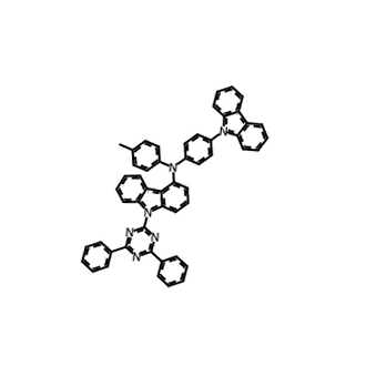 Cc1ccc(N(c2ccc(-n3c4ccccc4c4ccccc43)cc2)c2cccc3c2c2ccccc2n3-c2nc(-c3ccccc3)nc(-c3ccccc3)n2)cc1